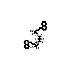 CCCC(O)(CCCc1cccc2ccccc12)CNC(=O)C(CC)(CC)C(=O)NCC(O)(CCC)CCCc1cccc2ccccc12